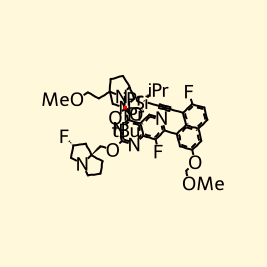 COCCC12CCC(CN(c3nc(OC[C@@]45CCCN4C[C@H](F)C5)nc4c(F)c(-c5cc(OCOC)cc6ccc(F)c(C#C[Si](C(C)C)(C(C)C)C(C)C)c56)ncc34)C1)N2C(=O)OC(C)(C)C